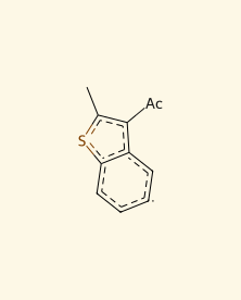 CC(=O)c1c(C)sc2cc[c]cc12